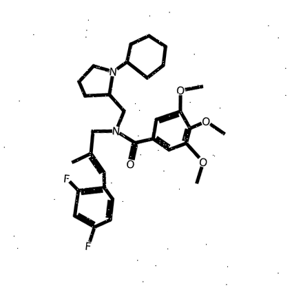 COc1cc(C(=O)N(CC(C)=Cc2ccc(F)cc2F)CC2CCCN2C2CCCCC2)cc(OC)c1OC